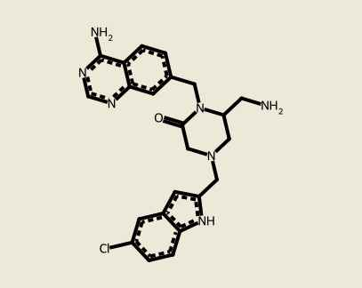 NCC1CN(Cc2cc3cc(Cl)ccc3[nH]2)CC(=O)N1Cc1ccc2c(N)ncnc2c1